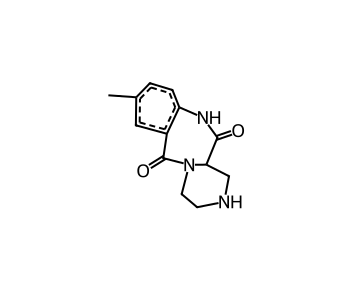 Cc1ccc2c(c1)C(=O)N1CCNCC1C(=O)N2